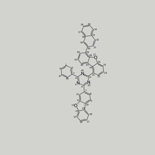 c1ccc(-c2nc(-c3ccc4c(c3)oc3ccccc34)nc(-c3cccc4oc5c(-c6ccc7ccccc7c6)cccc5c34)n2)cc1